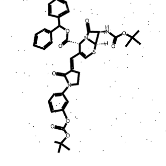 CC(C)(C)OC(=O)N[C@@H]1C(=O)N2[C@@H](C(=O)OC(c3ccccc3)c3ccccc3)C(/C=C3\CCN(c4cccc(OC(=O)OC(C)(C)C)c4)C3=O)=CS[C@H]12